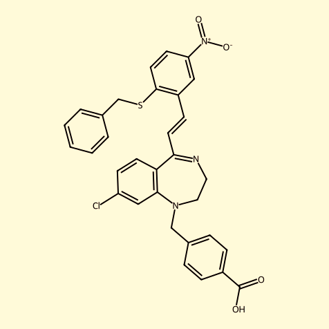 O=C(O)c1ccc(CN2CCN=C(C=Cc3cc([N+](=O)[O-])ccc3SCc3ccccc3)c3ccc(Cl)cc32)cc1